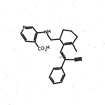 C#C/C(=C\C1=C(C)CCCC1CNc1cnccc1C(=O)O)c1ccccc1